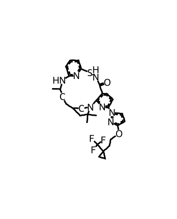 CC1CCC2CN(c3nc(-n4ccc(OCCC5(C(F)(F)F)CC5)n4)ccc3C(=O)NSc3cccc(n3)N1)C(C)(C)C2